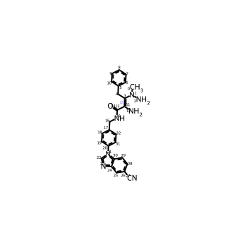 CN(N)/C(Cc1ccccc1)=C(\N)C(=O)NCc1ccc(-n2cnc3cc(C#N)ccc32)cc1